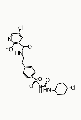 COc1ncc(Cl)cc1C(=O)NCCc1ccc(S(=O)(=O)NC(=O)NC2CCC(Cl)CC2)cc1